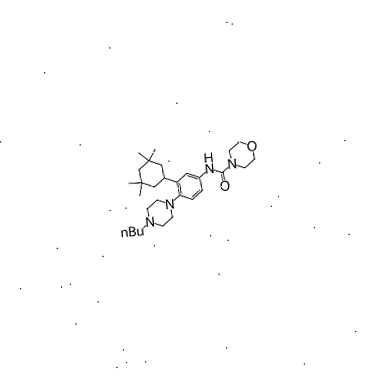 CCCCN1CCN(c2ccc(NC(=O)N3CCOCC3)cc2C2CC(C)(C)CC(C)(C)C2)CC1